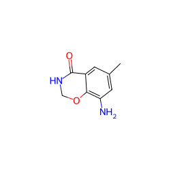 Cc1cc(N)c2c(c1)C(=O)NCO2